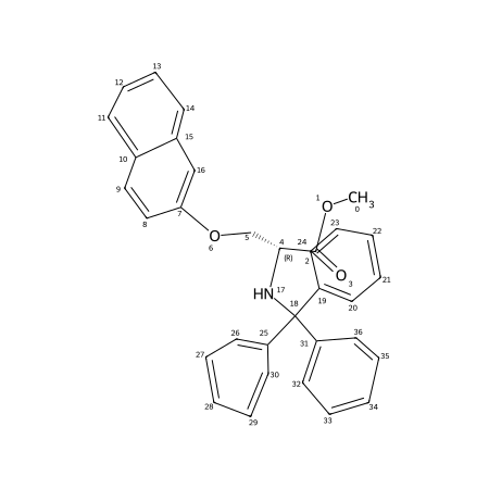 COC(=O)[C@@H](COc1ccc2ccccc2c1)NC(c1ccccc1)(c1ccccc1)c1ccccc1